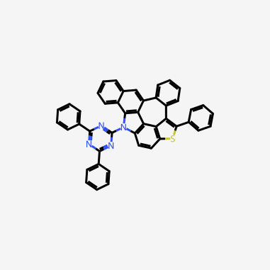 c1ccc(-c2nc(-c3ccccc3)nc(-n3c4ccc5sc(-c6ccccc6)c6c5c4c4c(cc5ccccc5c43)-c3ccccc3-6)n2)cc1